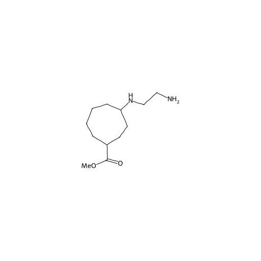 COC(=O)C1CCCCC(NCCN)CC1